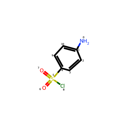 Nc1ccc(S(=O)(=O)Cl)cc1